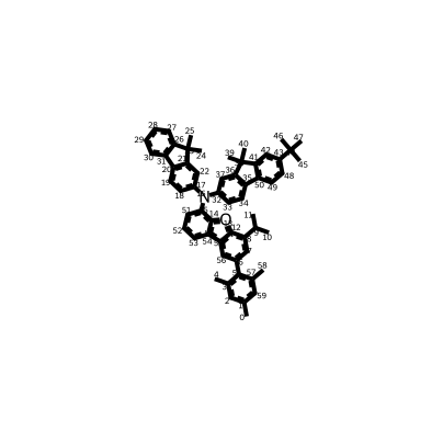 Cc1cc(C)c(-c2cc(C(C)C)c3oc4c(N(c5ccc6c(c5)C(C)(C)c5ccccc5-6)c5ccc6c(c5)C(C)(C)c5cc(C(C)(C)C)ccc5-6)cccc4c3c2)c(C)c1